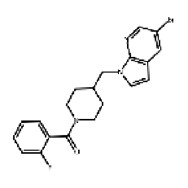 O=C(c1ccccc1F)N1CCC(Cn2ccc3cc(Br)cnc32)CC1